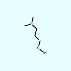 CN(C)CCOOS